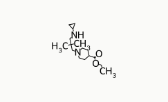 CCOC(=O)C1CCN(CC(C)(C)CNC2CC2)CC1